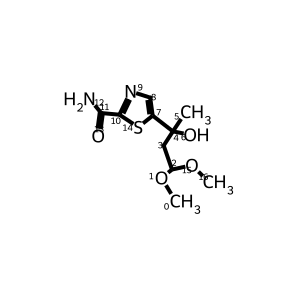 COC(CC(C)(O)c1cnc(C(N)=O)s1)OC